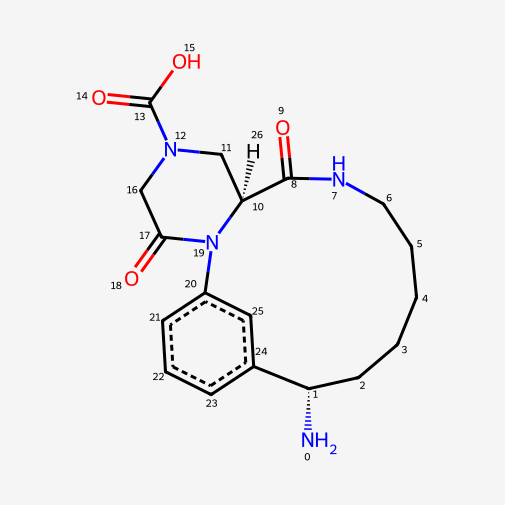 N[C@H]1CCCCCNC(=O)[C@@H]2CN(C(=O)O)CC(=O)N2c2cccc1c2